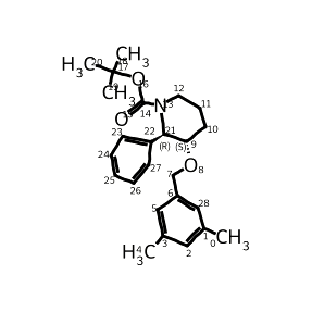 Cc1cc(C)cc(CO[C@H]2CCCN(C(=O)OC(C)(C)C)[C@@H]2c2ccccc2)c1